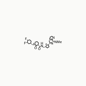 CNc1nc(-c2ccc(CNC(=O)c3cccn(Cc4ccc(F)c(F)c4)c3=O)s2)cn2ccnc12